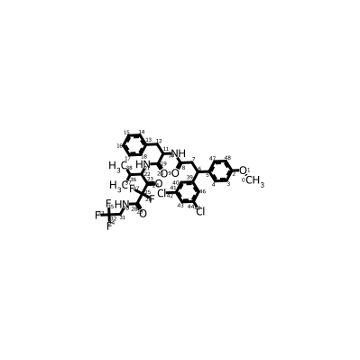 COc1ccc(C(CC(=O)NC(Cc2ccccc2)C(=O)NC(C(=O)C(F)(F)C(=O)NCC(F)(F)F)C(C)C)c2cc(Cl)cc(Cl)c2)cc1